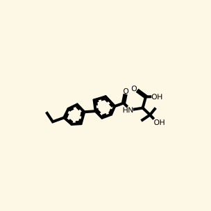 CCc1ccc(-c2ccc(C(=O)NC(C(=O)O)C(C)(C)O)cc2)cc1